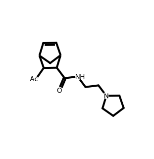 CC(=O)C1C2C=CC(C2)C1C(=O)NCCN1CCCC1